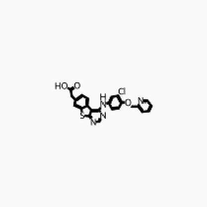 O=C(O)Cc1ccc2c(c1)sc1ncnc(Nc3ccc(OCc4ccccn4)c(Cl)c3)c12